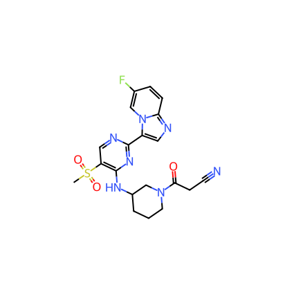 CS(=O)(=O)c1cnc(-c2cnc3ccc(F)cn23)nc1NC1CCCN(C(=O)CC#N)C1